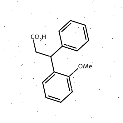 COc1ccccc1C(CC(=O)O)c1ccccc1